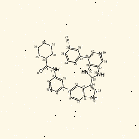 O=C(Nc1cncc(-c2ccc3[nH]nc(C4Nc5cncc(-c6cccc(F)c6)c5N4)c3c2)c1)C1CCCCC1